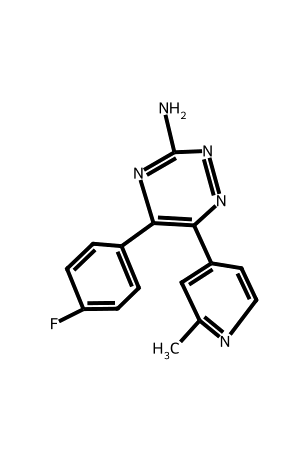 Cc1cc(-c2nnc(N)nc2-c2ccc(F)cc2)ccn1